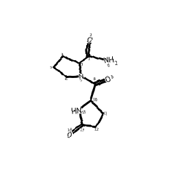 NC(=O)C1CCCN1C(=O)C1CCC(=O)N1